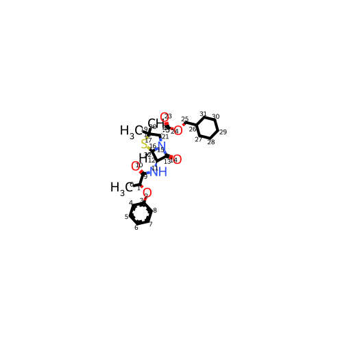 CC(Oc1ccccc1)C(=O)N[C@@H]1C(=O)N2[C@@H]1SC(C)(C)[C@@H]2C(=O)OCC1CCCCC1